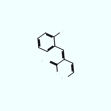 C=C(C)C(/C=C\C)=C\c1ccccc1C